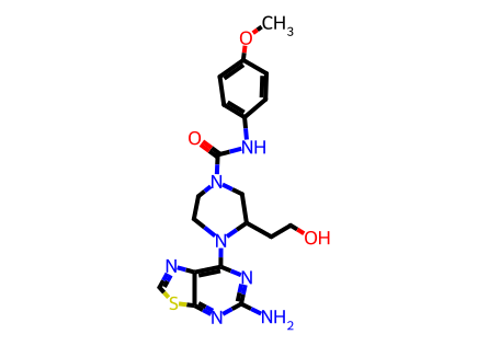 COc1ccc(NC(=O)N2CCN(c3nc(N)nc4scnc34)C(CCO)C2)cc1